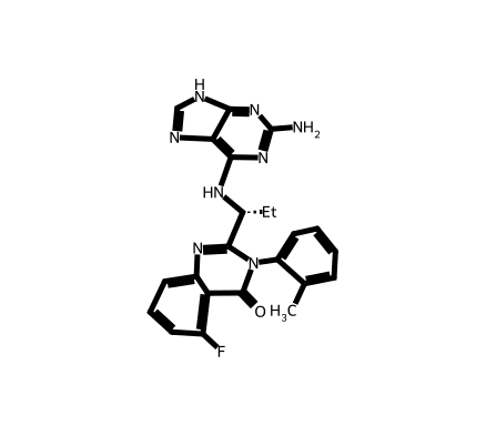 CC[C@@H](Nc1nc(N)nc2[nH]cnc12)c1nc2cccc(F)c2c(=O)n1-c1ccccc1C